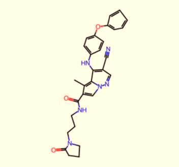 Cc1c(C(=O)NCCCN2CCCC2=O)cn2ncc(C#N)c(Nc3ccc(Oc4ccccc4)cc3)c12